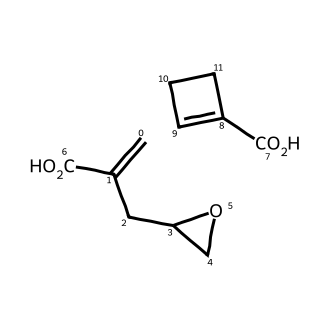 C=C(CC1CO1)C(=O)O.O=C(O)C1=CCC1